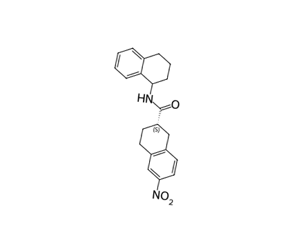 O=C(NC1CCCc2ccccc21)[C@H]1CCc2cc([N+](=O)[O-])ccc2C1